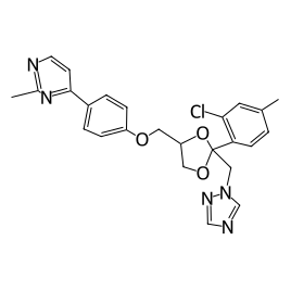 Cc1ccc(C2(Cn3cncn3)OCC(COc3ccc(-c4ccnc(C)n4)cc3)O2)c(Cl)c1